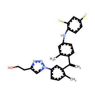 C=C(c1ccc(Nc2ccc(F)cc2F)cc1C)c1cc(-n2cc(CCO)nn2)ccc1C